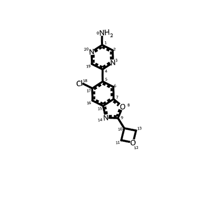 Nc1cnc(-c2cc3oc(C4COC4)nc3cc2Cl)cn1